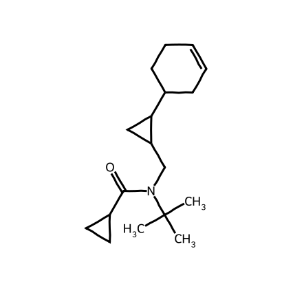 CC(C)(C)N(CC1CC1C1CC=CCC1)C(=O)C1CC1